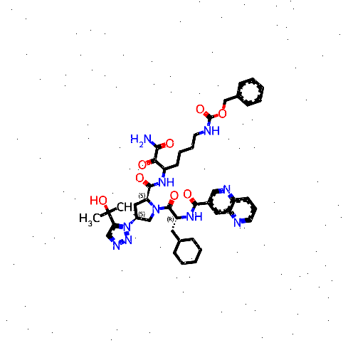 CC(C)(O)c1cnnn1[C@H]1C[C@@H](C(=O)NC(CCCCNC(=O)OCc2ccccc2)C(=O)C(N)=O)N(C(=O)[C@@H](CC2CCCCC2)NC(=O)c2cnc3cccnc3c2)C1